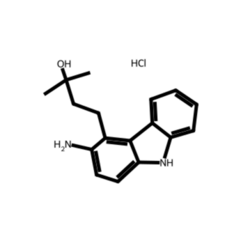 CC(C)(O)CCc1c(N)ccc2[nH]c3ccccc3c12.Cl